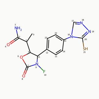 CC(C(N)=O)C1OC(=O)N(F)C1c1ccc(-n2cnnc2S)cc1